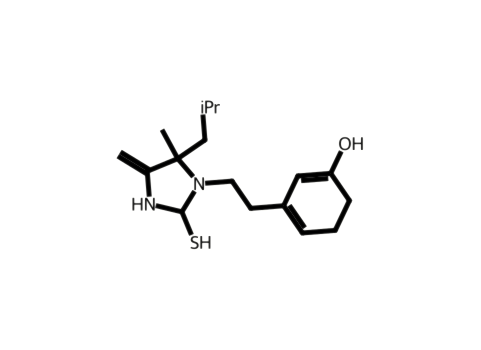 C=C1NC(S)N(CCC2=CCCC(O)=C2)C1(C)CC(C)C